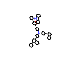 c1ccc(-c2ccc(-c3ccc(N(c4ccc(-c5ccc(-c6ccccc6-n6c7ccccc7c7ccccc76)cc5)cc4)c4ccc(-c5cccc6ccccc56)cc4)cc3)c3ccccc23)cc1